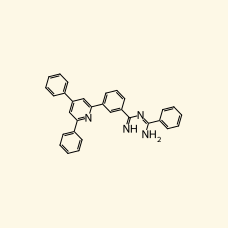 N=C(/N=C(\N)c1ccccc1)c1cccc(-c2cc(-c3ccccc3)cc(-c3ccccc3)n2)c1